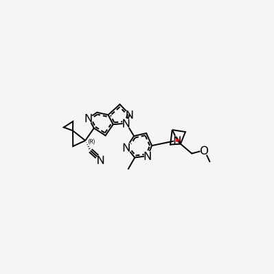 COCC12CC(C1)N(c1cc(-n3ncc4cnc([C@@]5(C#N)CC56CC6)cc43)nc(C)n1)C2